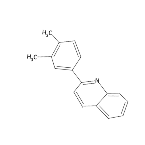 Cc1ccc(-c2c[c]c3ccccc3n2)cc1C